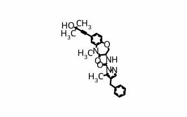 Cc1c(Cc2ccccc2)cnn1C(=O)N[C@@H]1COc2ccc(C#CC(C)(C)O)cc2N(C)C1=O